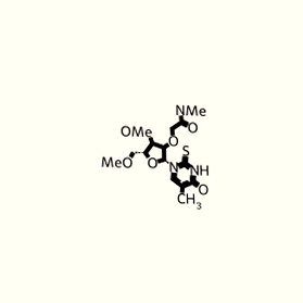 CNC(=O)COC1C(OC)[C@@H](COC)O[C@H]1n1cc(C)c(=O)[nH]c1=S